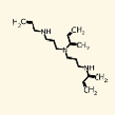 C=CCNCCCN(CCCNC(=C)C=C)C(=C)C=C